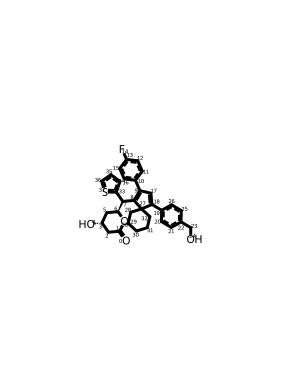 O=C1C[C@H](O)C[C@@H](C(C2=C(c3ccc(F)cc3)C=C(c3ccc(CO)cc3)C23CCCCC3)c2cccs2)O1